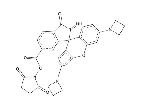 N=C1C(=O)c2ccc(C(=O)ON3C(=O)CCC3=O)cc2C12c1ccc(N3CCC3)cc1Oc1cc(N3CCC3)ccc12